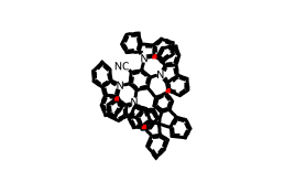 N#Cc1c(-n2c3ccccc3c3ccccc32)c(-n2c3ccccc3c3ccccc32)c(-c2ccc3c(c2)C2(c4ccccc4-c4ccccc42)c2ccccc2-3)c(-n2c3ccccc3c3ccccc32)c1-n1c2ccccc2c2ccccc21